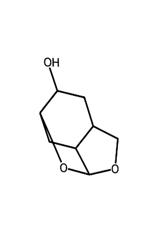 OC1CC2COC3OC1CC23